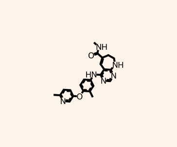 CNC(=O)C1=Cc2c(ncnc2Nc2ccc(Oc3ccc(C)nc3)c(C)c2)NCC1